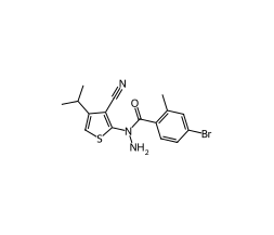 Cc1cc(Br)ccc1C(=O)N(N)c1scc(C(C)C)c1C#N